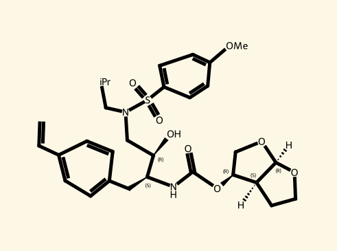 C=Cc1ccc(C[C@H](NC(=O)O[C@H]2CO[C@H]3OCC[C@H]32)[C@H](O)CN(CC(C)C)S(=O)(=O)c2ccc(OC)cc2)cc1